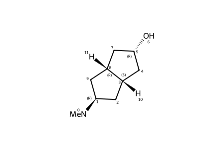 CN[C@@H]1C[C@H]2C[C@@H](O)C[C@H]2C1